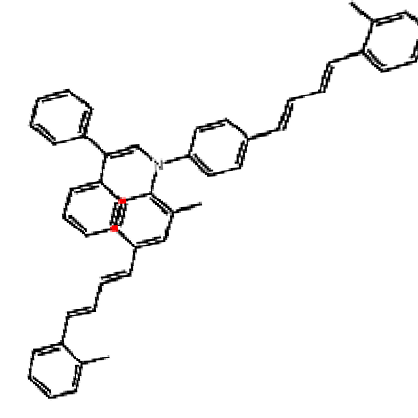 Cc1ccccc1C=CC=Cc1ccc(N(C=C(c2ccccc2)c2ccccc2)c2ccc(C=CC=Cc3ccccc3C)cc2C)cc1